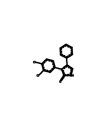 O=c1[nH]cc(-c2ccccc2)n1-c1ccc(Cl)c(Cl)c1